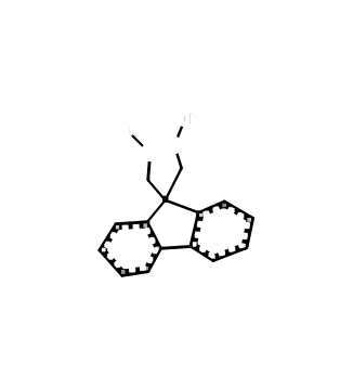 CC(C)(C)OCC1(COC(C)(C)C)c2ccccc2-c2ccccc21